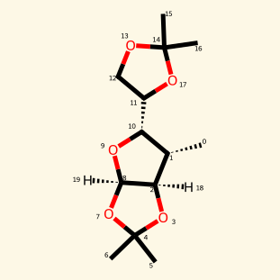 C[C@@H]1[C@H]2OC(C)(C)O[C@H]2O[C@@H]1C1COC(C)(C)O1